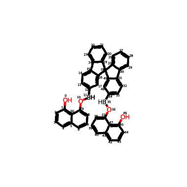 Oc1cccc2cccc(OBc3ccc4c(c3)C3(c5ccccc5-4)c4ccccc4-c4ccc(BOc5cccc6cccc(O)c56)cc43)c12